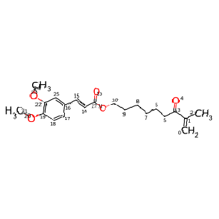 C=C(C)C(=O)CCCCCCOC(=O)/C=C/c1ccc(OC)c(OC)c1